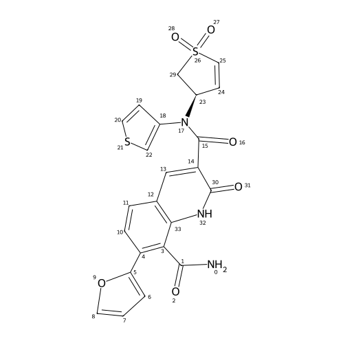 NC(=O)c1c(-c2ccco2)ccc2cc(C(=O)N(c3ccsc3)[C@@H]3C=CS(=O)(=O)C3)c(=O)[nH]c12